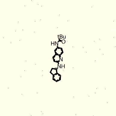 CC(C)(C)C(=O)Nc1ccc2nc(N[C@@H]3CCc4ccccc43)ccc2c1